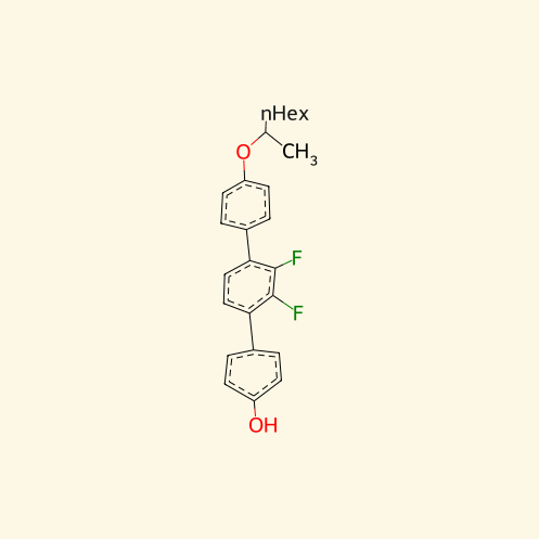 CCCCCCC(C)Oc1ccc(-c2ccc(-c3ccc(O)cc3)c(F)c2F)cc1